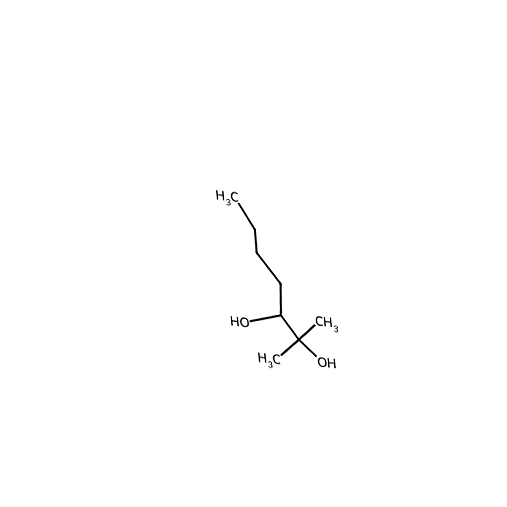 CCCCC(O)C(C)(C)O